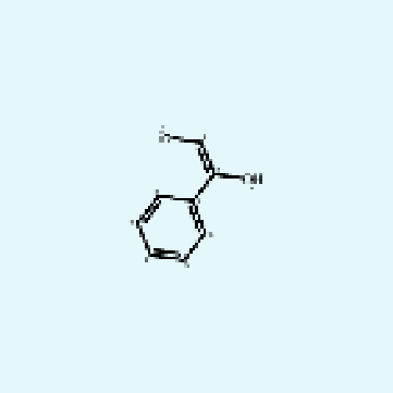 CC/C=C(/O)c1ccccc1